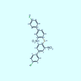 O=[N+]([O-])c1cc(-c2ccc(F)cc2)ccc1Sc1ccc(-c2ccc(F)cc2)cc1[N+](=O)[O-]